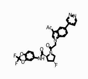 CC(=O)c1cn(CC(=O)N2C[C@H](F)C[C@H]2C(=O)Nc2ccc3c(c2)OC(F)(F)O3)c2ccc(-c3ccnnc3)cc12